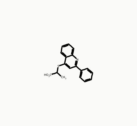 CC(Sc1cc(-c2ccccc2)nc2ccccc12)C(=O)O